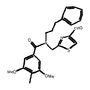 COc1cc(C(=O)N(CCCc2ccccc2)Cc2nc(C=O)cs2)cc(OC)c1C